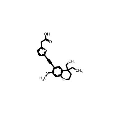 CCC1(CC)CCOc2cc(SC)c(C#Cc3ccc(CC(=O)O)s3)cc21